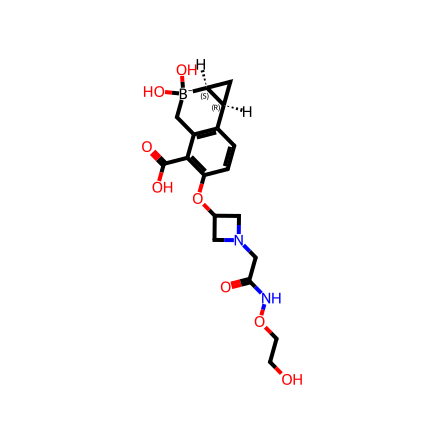 O=C(CN1CC(Oc2ccc3c(c2C(=O)O)C[B-](O)(O)[C@H]2C[C@@H]32)C1)NOCCO